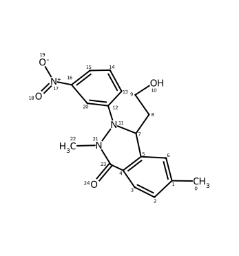 Cc1ccc2c(c1)C(CCO)N(c1cccc([N+](=O)[O-])c1)N(C)C2=O